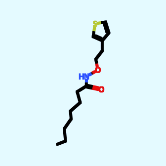 CCCCCCCC(=O)NOCCc1ccsc1